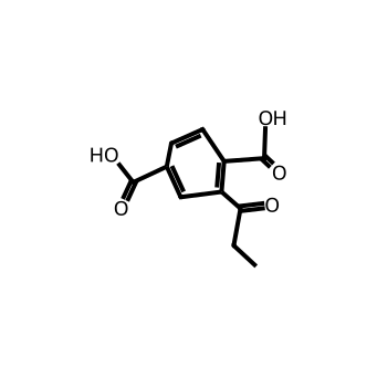 CCC(=O)c1cc(C(=O)O)ccc1C(=O)O